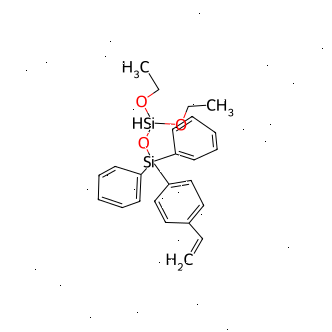 C=Cc1ccc([Si](O[SiH](OCC)OCC)(c2ccccc2)c2ccccc2)cc1